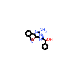 N#Cc1ccccc1-c1nc(N)n2nc(C(O)c3ccccc3)nc2c1Br